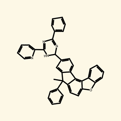 CC1(c2ccccc2)c2cc(C3N=C(c4ccccc4)N=C(c4ccccn4)N3)ccc2-c2c1ccc1oc3ccccc3c21